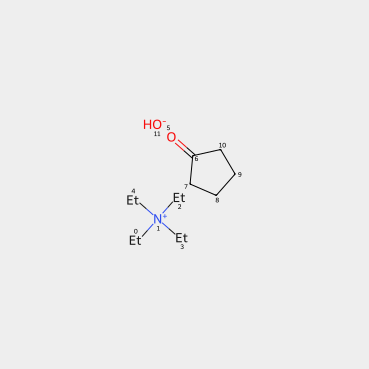 CC[N+](CC)(CC)CC.O=C1CCCC1.[OH-]